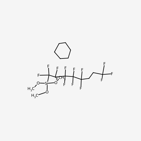 C1CCCCC1.CO[Si](OC)(OC)C(F)(F)C(F)(F)C(F)(F)C(F)(F)C(F)(F)CCC(F)(F)F